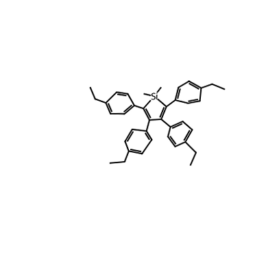 CCc1ccc(C2=C(c3ccc(CC)cc3)[Si](C)(C)C(c3ccc(CC)cc3)=C2c2ccc(CC)cc2)cc1